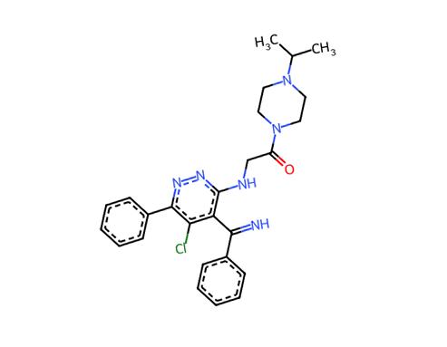 CC(C)N1CCN(C(=O)CNc2nnc(-c3ccccc3)c(Cl)c2C(=N)c2ccccc2)CC1